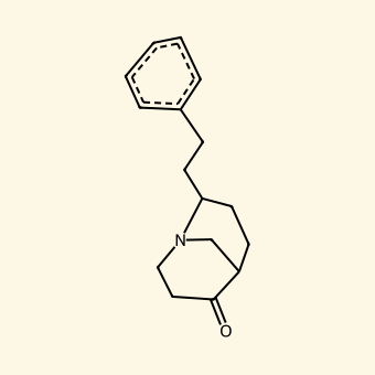 O=C1CCN2CC1CCC2CCc1ccccc1